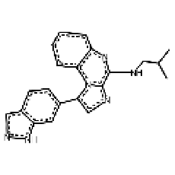 CC(C)CNc1nc2ccccc2n2c(-c3ccc4cn[nH]c4c3)cnc12